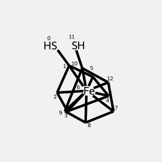 S[C]12[CH]3[CH]4[CH]5[CH]1[Fe]45321678[CH]2[CH]1[CH]6[C]7(S)[CH]28